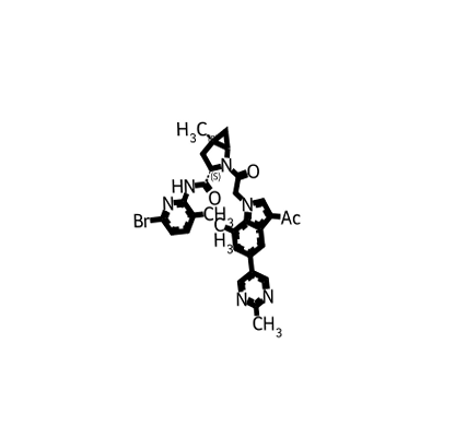 CC(=O)c1cn(CC(=O)N2C3C[C@]3(C)C[C@H]2C(=O)Nc2nc(Br)ccc2C)c2c(C)cc(-c3cnc(C)nc3)cc12